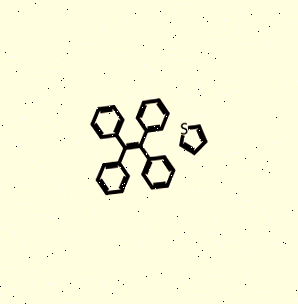 c1ccc(C(=C(c2ccccc2)c2ccccc2)c2ccccc2)cc1.c1ccsc1